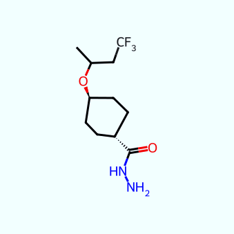 CC(CC(F)(F)F)O[C@H]1CC[C@H](C(=O)NN)CC1